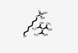 CC(C)CCCCCCOP(=O)(O)O.CC(O)N(C(C)O)C(C)O